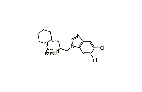 COC(C[C@H]1CCCCN1C(=O)O)Cn1cnc2cc(Cl)c(Cl)cc21